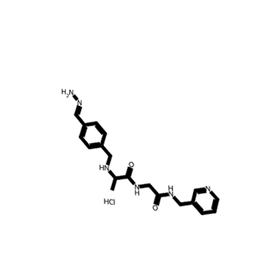 CC(NCc1ccc(C=NN)cc1)C(=O)NCC(=O)NCc1cccnc1.Cl